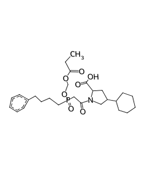 CCC(=O)OCOP(=O)(CCCCc1ccccc1)CC(=O)N1CC(C2CCCCC2)CC1C(=O)O